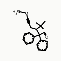 CC(C)(C)C(CC#CO[SiH3])C(C=O)(c1ccccc1)c1ccccc1